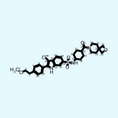 COCCc1ccc(-c2[nH]c3cc(S(=O)(=O)NC4CCC(C(=O)N5CCC6(CC5)COC6)CC4)ccc3c2Cl)cc1